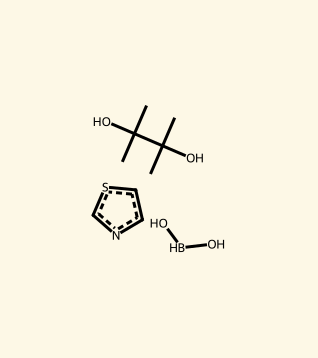 CC(C)(O)C(C)(C)O.OBO.c1cscn1